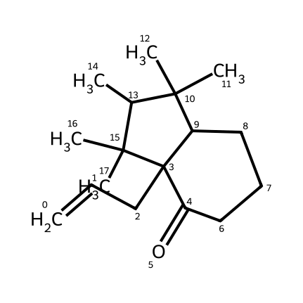 C=CCC12C(=O)CCCC1C(C)(C)C(C)C2(C)C